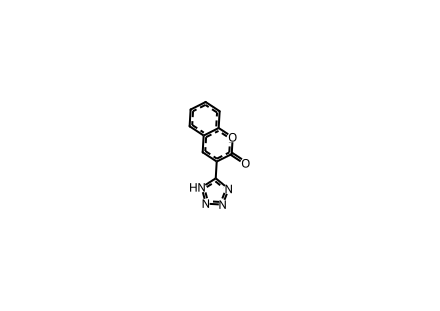 O=c1oc2ccccc2cc1-c1nnn[nH]1